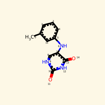 Cc1cccc(Nc2c[nH]c(=O)[nH]c2=O)c1